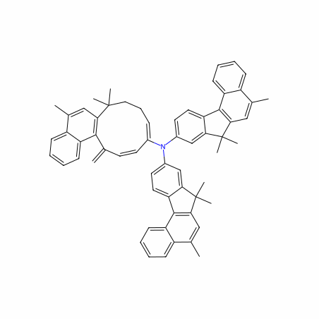 C=C1/C=C\C(N(c2ccc3c(c2)C(C)(C)c2cc(C)c4ccccc4c2-3)c2ccc3c(c2)C(C)(C)c2cc(C)c4ccccc4c2-3)=C/CCC(C)(C)c2cc(C)c3ccccc3c21